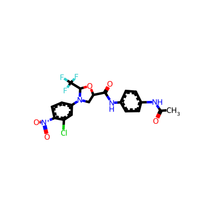 CC(=O)Nc1ccc(NC(=O)C2CN(c3ccc([N+](=O)[O-])c(Cl)c3)C(C(F)(F)F)O2)cc1